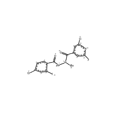 CCc1ccc(C(=O)NN(C(=O)c2cc(C)nc(Cl)c2)C(C)(C)C)c(F)c1